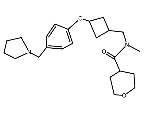 CN(CC1CC(Oc2ccc(CN3CCCC3)cc2)C1)C(=O)C1CCOCC1